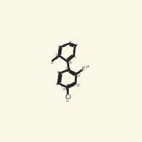 Cc1ccccc1-c1ccc(Cl)cc1F